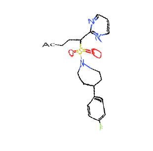 CC(=O)CCC(c1ncccn1)S(=O)(=O)N1CCC(c2ccc(F)cc2)CC1